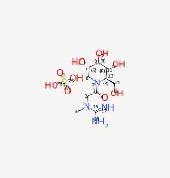 CN(CC(=O)N1C[C@H](O)[C@@H](O)[C@H](O)[C@H]1CO)C(=N)N.O=S(=O)(O)O